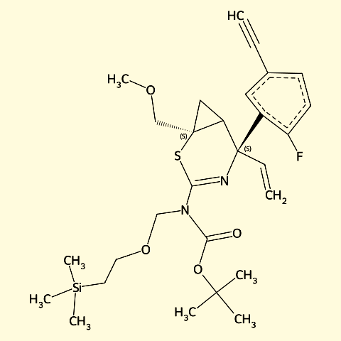 C#Cc1ccc(F)c([C@@]2(C=C)N=C(N(COCC[Si](C)(C)C)C(=O)OC(C)(C)C)S[C@@]3(COC)CC32)c1